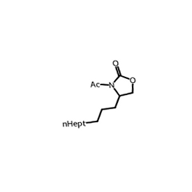 CCCCCCCCCCC1COC(=O)N1C(C)=O